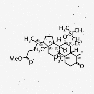 CC[C@H]1[C@@H](O[Si](C)(C)C)[C@@H]2[C@H](CC[C@]3(C)[C@@H]([C@H](C)CCC(=O)OC)CC[C@@H]23)[C@@]2(C)CCC(=O)[C@H](F)[C@@H]12